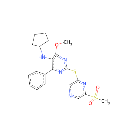 COc1nc(Sc2cncc(S(C)(=O)=O)n2)nc(-c2ccccc2)c1NC1CCCC1